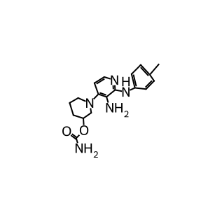 Cc1ccc(Nc2nccc(N3CCCC(OC(N)=O)C3)c2N)cc1